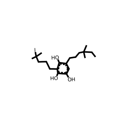 CCC(C)(C)CCCc1cc(O)c(O)c(CCCC(C)(C)I)c1O